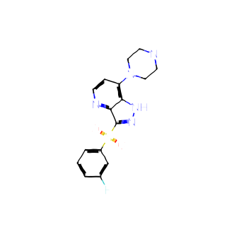 O=S(=O)(c1cccc(F)c1)c1n[nH]c2c(N3CCNCC3)ccnc12